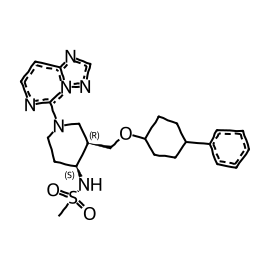 CS(=O)(=O)N[C@H]1CCN(c2nccc3ncnn23)C[C@H]1COC1CCC(c2ccccc2)CC1